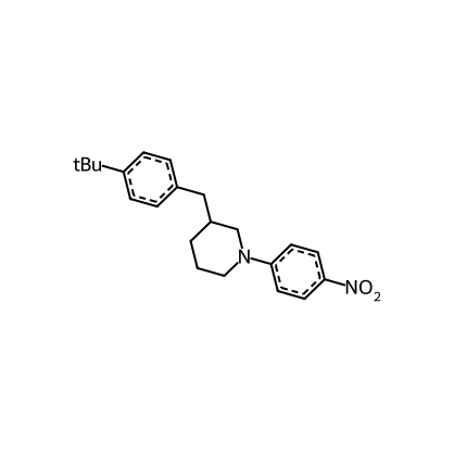 CC(C)(C)c1ccc(CC2CCCN(c3ccc([N+](=O)[O-])cc3)C2)cc1